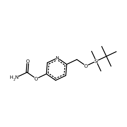 CC(C)(C)[Si](C)(C)OCc1ccc(OC(N)=O)cn1